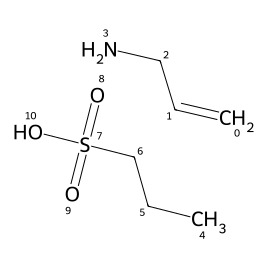 C=CCN.CCCS(=O)(=O)O